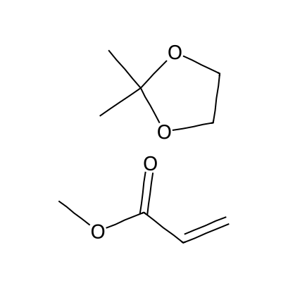 C=CC(=O)OC.CC1(C)OCCO1